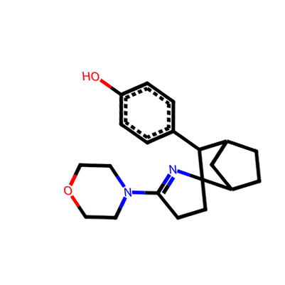 Oc1ccc(C2C3CCC(C3)C23CCC(N2CCOCC2)=N3)cc1